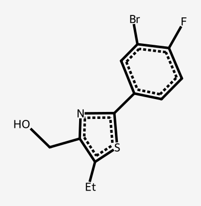 CCc1sc(-c2ccc(F)c(Br)c2)nc1CO